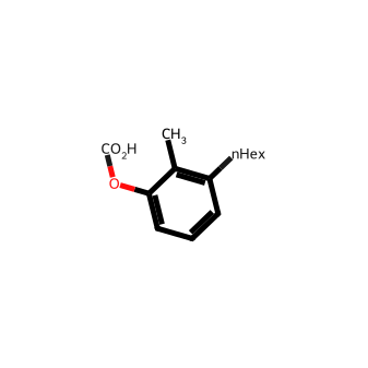 CCCCCCc1cccc(OC(=O)O)c1C